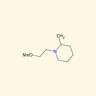 [CH2]C1CCCCN1CCOC